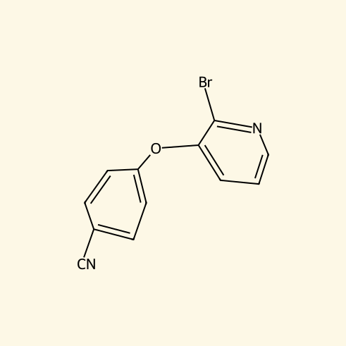 N#Cc1ccc(Oc2cccnc2Br)cc1